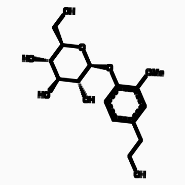 COc1cc(CCO)ccc1O[C@@H]1O[C@H](CO)[C@@H](O)[C@H](O)[C@H]1O